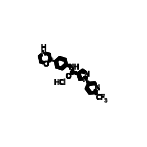 Cl.O=C(Nc1ccc([C@H]2CNCCO2)cc1)c1cnn(-c2ccc(C(F)(F)F)nc2)c1